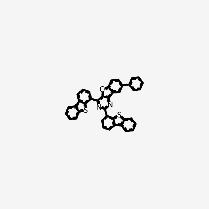 c1ccc(-c2ccc3oc4c(-c5cccc6c5sc5ccccc56)nc(-c5cccc6c5sc5ccccc56)nc4c3c2)cc1